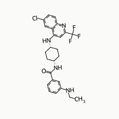 CCNc1cccc(C(=O)N[C@H]2CC[C@@H](Nc3cc(C(F)(F)F)nc4ccc(Cl)cc34)CC2)c1